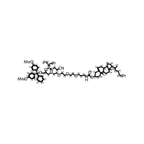 COc1ccc(C(OCC(COCCOCCOCCOCCCNC(=O)OC2CCC3(C)C(=CCC4C3CCC3(C)C(C(C)CCCC(C)C)CCC43)C2)OP(OCCC#N)N(C(C)C)C(C)C)(c2ccccc2)c2ccc(OC)cc2)cc1